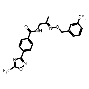 CC(CNC(=O)c1ccc(-c2noc(C(F)(F)F)n2)cc1)=NOCc1cccc(C(F)(F)F)c1